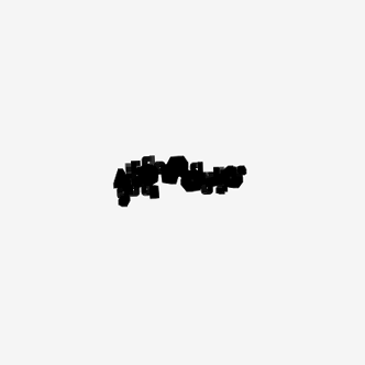 CCOC(=O)C1(NCc2c(OCC)cc(OC3CCc4c(-c5cccc(NC(=O)c6nc7c(n6C)CCN(C)C7)c5Cl)cccc43)c(Cl)c2F)CC1